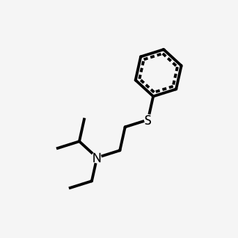 CCN(CCSc1ccccc1)C(C)C